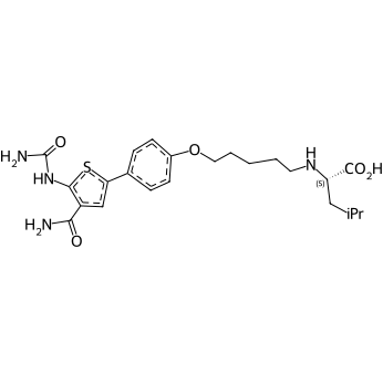 CC(C)C[C@H](NCCCCCOc1ccc(-c2cc(C(N)=O)c(NC(N)=O)s2)cc1)C(=O)O